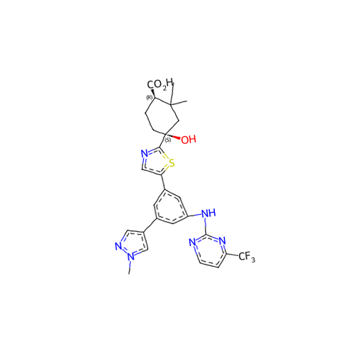 Cn1cc(-c2cc(Nc3nccc(C(F)(F)F)n3)cc(-c3cnc([C@]4(O)CC[C@@H](C(=O)O)C(C)(C)C4)s3)c2)cn1